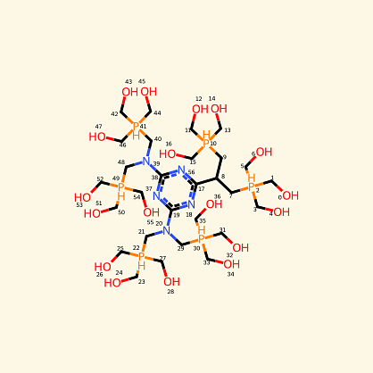 OC[PH](CO)(CO)CC(C[PH](CO)(CO)CO)c1nc(N(C[PH](CO)(CO)CO)C[PH](CO)(CO)CO)nc(N(C[PH](CO)(CO)CO)C[PH](CO)(CO)CO)n1